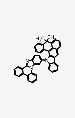 CC1(C)c2ccccc2-c2c3c1cccc3cc1c3ccccc3n(-c3ccc4nc5c6ccccc6c6ccccc6n5c4c3)c21